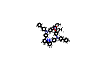 C=C/C=C(\C=C)c1ccc(N(c2ccc(-c3ccccc3)cc2)c2ccc(-c3cccc4c3[nH]c3c(-c5ccc(N(c6ccc(-c7ccccc7)cc6)c6ccc(-c7ccccc7)cc6)cc5)cccc34)cc2)cc1